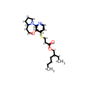 CCCCC(CC)COC(=O)CCSc1ccnc2c1OCCC1CCCN21